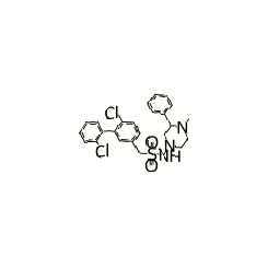 CN1CCN(NS(=O)(=O)Cc2ccc(Cl)c(-c3ccccc3Cl)c2)CC1c1ccccc1